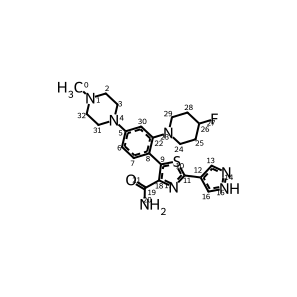 CN1CCN(c2ccc(-c3sc(-c4cn[nH]c4)nc3C(N)=O)c(N3CCC(F)CC3)c2)CC1